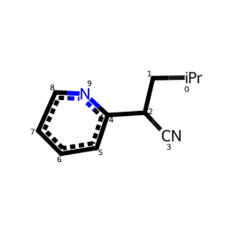 CC(C)CC(C#N)c1ccccn1